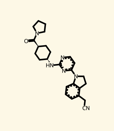 N#CCc1cccc2c1CCN2c1ccnc(N[C@H]2CC[C@H](C(=O)N3CCCC3)CC2)n1